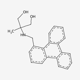 CC(CO)(CO)NCc1cccc2c3ccccc3c3ccccc3c12